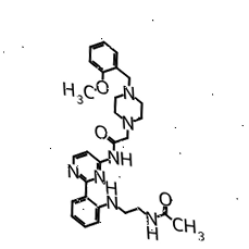 COc1ccccc1CN1CCN(CC(=O)Nc2ccnc(-c3ccccc3NCCNC(C)=O)n2)CC1